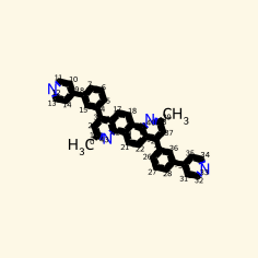 Cc1cc(-c2cccc(-c3ccncc3)c2)c2ccc3c(ccc4c(-c5cccc(-c6ccncc6)c5)cc(C)nc43)c2n1